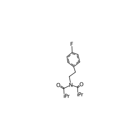 CC(C)C(=O)N(CCc1ccc(F)cc1)C(=O)C(C)C